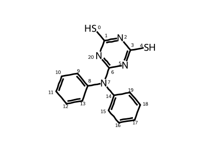 Sc1nc(S)nc(N(c2ccccc2)c2ccccc2)n1